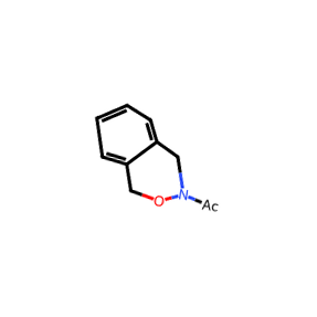 CC(=O)N1Cc2ccccc2CO1